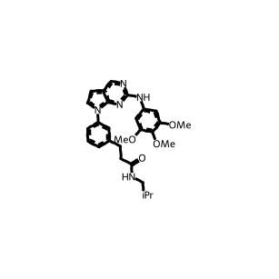 COc1cc(Nc2ncc3ccn(-c4cccc(CCC(=O)NCC(C)C)c4)c3n2)cc(OC)c1OC